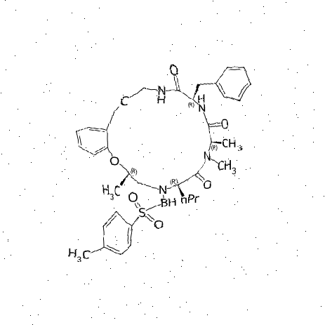 CCC[C@@H]1C(=O)N(C)[C@H](C)C(=O)N[C@H](Cc2ccccc2)C(=O)NCCCc2ccccc2O[C@H](C)CN1BS(=O)(=O)c1ccc(C)cc1